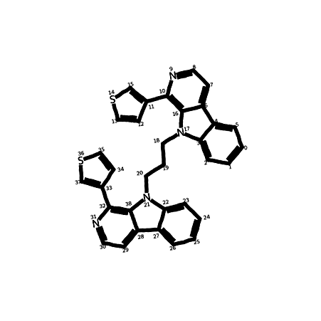 c1ccc2c(c1)c1ccnc(-c3ccsc3)c1n2CCCn1c2ccccc2c2ccnc(-c3ccsc3)c21